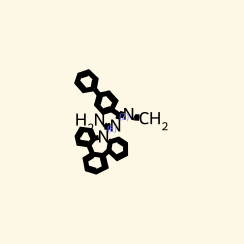 C=C/N=C(\N=C(/N)N1c2ccccc2-c2ccccc2C2C=CC=CC21)c1ccc(-c2ccccc2)cc1